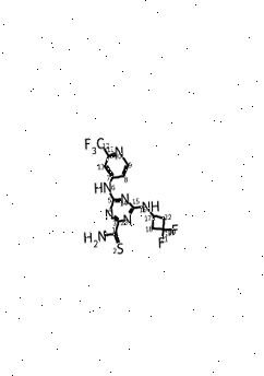 NC(=S)c1nc(Nc2ccnc(C(F)(F)F)c2)nc(NC2CC(F)(F)C2)n1